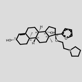 C[C@]12CC[C@H]3[C@@H](CCC4=C[C@@H](O)CC[C@@]43C)[C@@]1(O)CC[C@]2(OCCN1CCCC1)c1ccco1